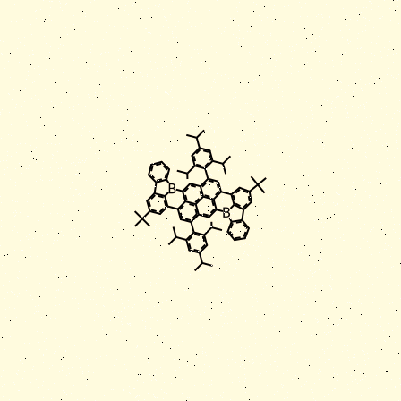 CC(C)c1cc(C(C)C)c(-c2cc3c4c(cc5c(-c6c(C(C)C)cc(C(C)C)cc6C(C)C)cc6c7c(cc2c4c57)B2c4ccccc4-c4cc(C(C)(C)C)cc-6c42)B2c4ccccc4-c4cc(C(C)(C)C)cc-3c42)c(C(C)C)c1